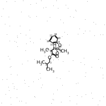 CC(C)COC(=O)[C@H](C)NP(C)(=O)Oc1ccccc1